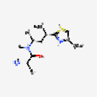 CCOC(=O)c1csc(C(CC(C(C)C)N(C)C(=O)C(N)C(C)CC)NC(C)=O)n1